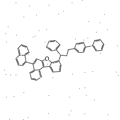 c1ccc(-c2ccc(CCC(c3ccccc3)c3cccc4c3oc3cc(-c5cccc6ccccc56)c5ccccc5c34)cc2)cc1